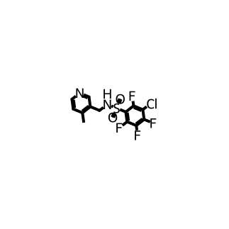 Cc1ccncc1CNS(=O)(=O)c1c(F)c(F)c(F)c(Cl)c1F